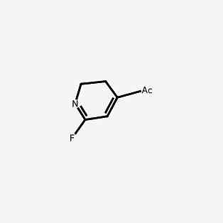 CC(=O)C1=CC(F)=NCC1